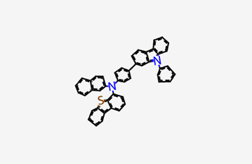 c1ccc(-n2c3ccccc3c3ccc(-c4ccc(N(c5ccc6ccccc6c5)c5cccc6c5sc5ccccc56)cc4)cc32)cc1